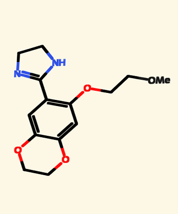 COCCOc1cc2c(cc1C1=NCCN1)OCCO2